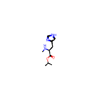 CNC(Cc1c[nH]cn1)C(=O)OC(C)C